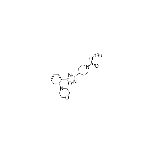 CC(C)(C)OC(=O)N1CCC(c2noc(-c3ccccc3N3CCOCC3)n2)CC1